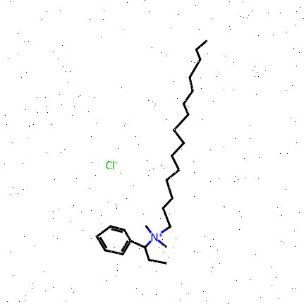 CCCCCCCCCCCCCCC[N+](C)(C)C(CC)c1ccccc1.[Cl-]